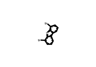 Brc1cccc2c1sc1c(Br)cccc12